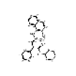 O=C(OC1CCCCC1)[C@@H](/N=[P+](\[O-])Oc1c(Cl)ccc2ccccc12)c1ccccc1